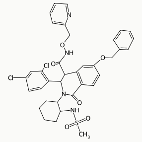 CS(=O)(=O)NC1CCCCC1N1C(=O)c2ccc(OCc3ccccc3)cc2C(C(=O)NOCc2ccccn2)C1c1ccc(Cl)cc1Cl